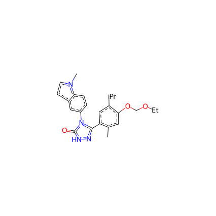 CCOCOc1cc(C)c(-c2n[nH]c(=O)n2-c2ccc3c(ccn3C)c2)cc1C(C)C